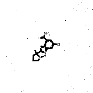 CN1CCCC1(C)c1nc2c(C(N)=O)cc(Cl)cc2[nH]1